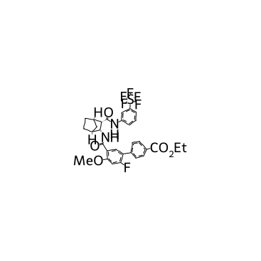 CCOC(=O)c1ccc(-c2cc(C(=O)N[C@@H]3[C@H]4CC[C@H](C4)[C@@H]3C(=O)Nc3cccc(S(F)(F)(F)(F)F)c3)c(OC)cc2F)cc1